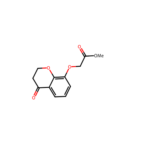 COC(=O)COc1cccc2c1OCCC2=O